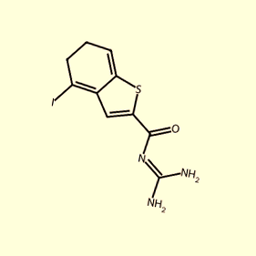 NC(N)=NC(=O)c1cc2c(s1)=CCCC=2I